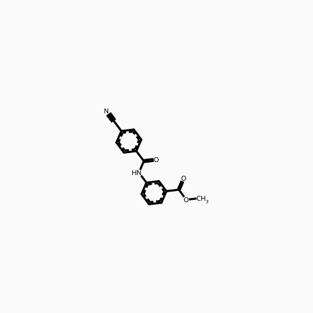 COC(=O)c1cccc(NC(=O)c2ccc(C#N)cc2)c1